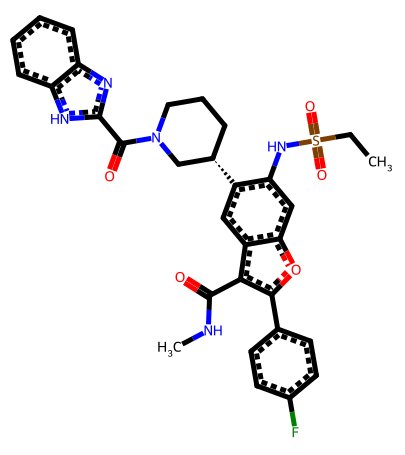 CCS(=O)(=O)Nc1cc2oc(-c3ccc(F)cc3)c(C(=O)NC)c2cc1[C@H]1CCCN(C(=O)c2nc3ccccc3[nH]2)C1